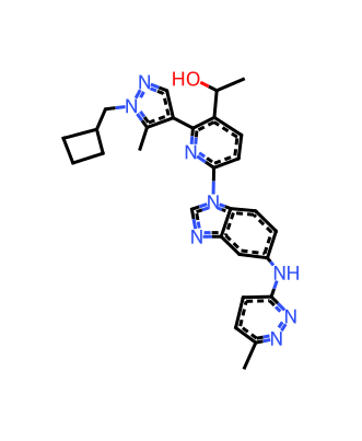 Cc1ccc(Nc2ccc3c(c2)ncn3-c2ccc(C(C)O)c(-c3cnn(CC4CCC4)c3C)n2)nn1